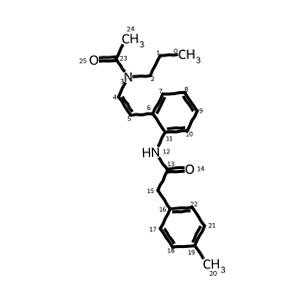 CCCN(/C=C\c1ccccc1NC(=O)Cc1ccc(C)cc1)C(C)=O